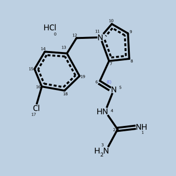 Cl.N=C(N)N/N=C/c1cccn1Cc1ccc(Cl)cc1